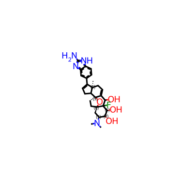 CN(C)[C@H]1C[C@@]23CC[C@@]4(O2)C(=CC[C@]2(C)C(c5ccc6[nH]c(N)nc6c5)=CCC24)C(O)C3(F)[C@@H](O)[C@@H]1O